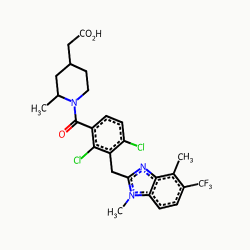 Cc1c(C(F)(F)F)ccc2c1nc(Cc1c(Cl)ccc(C(=O)N3CCC(CC(=O)O)CC3C)c1Cl)n2C